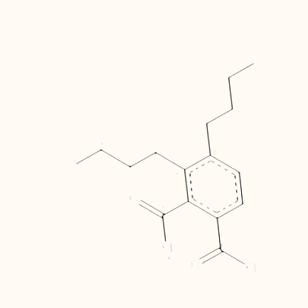 CCCCc1ccc(C(=O)Cl)c(C(=O)Cl)c1CCCC